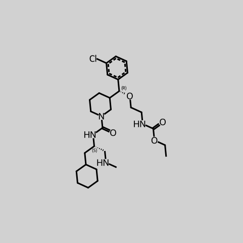 CCOC(=O)NCCO[C@@H](c1cccc(Cl)c1)C1CCCN(C(=O)N[C@H](CNC)CC2CCCCC2)C1